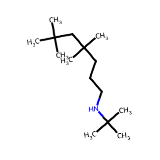 CC(C)(C)CC(C)(C)CCCNC(C)(C)C